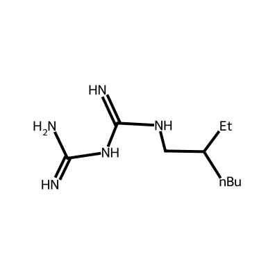 CCCCC(CC)CNC(=N)NC(=N)N